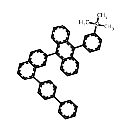 C[Si](C)(C)c1cccc(-c2c3ccccc3c(-c3ccc4cccc(-c5ccc(-c6ccccc6)cc5)c4c3)c3ccccc23)c1